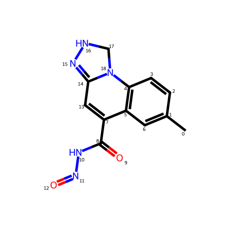 Cc1ccc2c(c1)C(C(=O)NN=O)=CC1=NNCN12